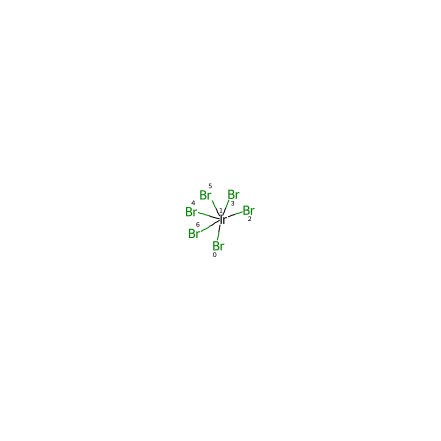 [Br][Ir]([Br])([Br])([Br])([Br])[Br]